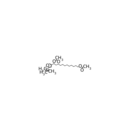 CC(=O)OCCCCCCCCCCCC(OC(C)=O)c1coc([Si](C)(C)C)c1